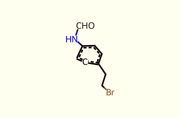 O=CNc1ccc(CCBr)cc1